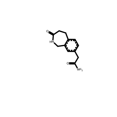 NC(=O)Cc1ccc2c(c1)CNC(=O)CC2